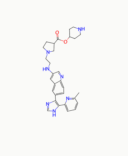 Cc1cccc(-c2[nH]cnc2-c2ccc3ncc(NCCN4CCC(C(=O)OC5CCNCC5)C4)cc3c2)n1